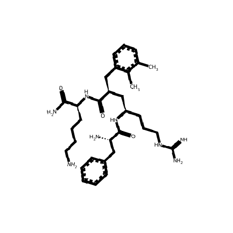 Cc1cccc(C[C@@H](C[C@@H](CCCNC(=N)N)NC(=O)[C@@H](N)Cc2ccccc2)C(=O)N[C@@H](CCCCN)C(N)=O)c1C